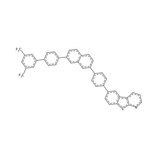 FC(F)(F)c1cc(-c2ccc(-c3ccc4ccc(-c5ccc(-c6ccc7sc8ncccc8c7c6)cc5)cc4c3)cc2)cc(C(F)(F)F)c1